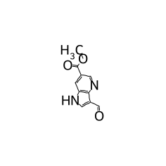 COC(=O)c1cnc2c(C=O)c[nH]c2c1